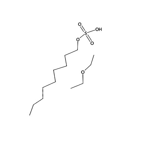 CCCCCCCCCOS(=O)(=O)O.CCOCC